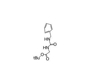 CC(C)(C)OC(=O)CNC(=O)NCc1ccccc1